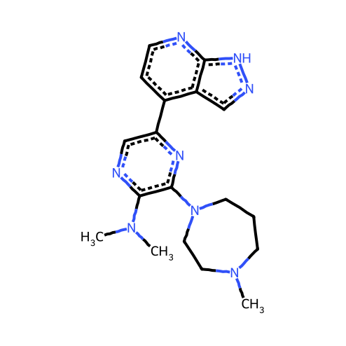 CN1CCCN(c2nc(-c3ccnc4[nH]ncc34)cnc2N(C)C)CC1